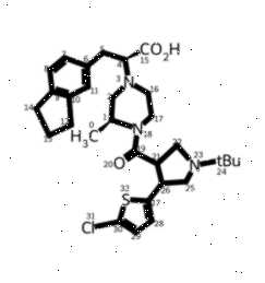 C[C@H]1CN([C@@H](Cc2ccc3c(c2)CCC3)C(=O)O)CCN1C(=O)C1CN(C(C)(C)C)CC1c1ccc(Cl)s1